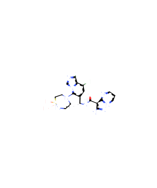 C[C@H](NC(=O)c1c(N)nn2cccnc12)c1cc(Cl)c2c(Cl)ncn2c1N1CCNS(O)(O)CC1